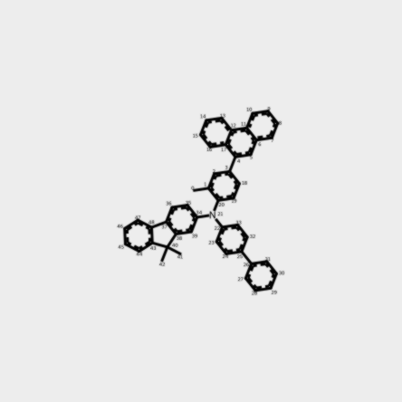 Cc1cc(-c2cc3ccccc3c3ccccc23)ccc1N(c1ccc(-c2ccccc2)cc1)c1ccc2c(c1)C(C)(C)c1ccccc1-2